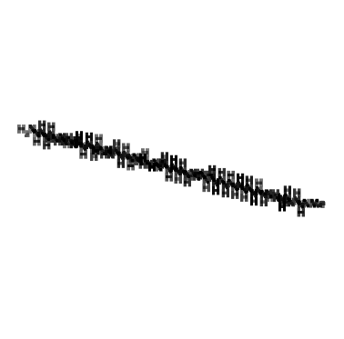 CNNNNNNNCNNNNNNNNNNNNNNNNNNNNNNNNNNNNNNNNNNNNNNNNNNNNNNNNNNN